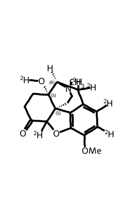 [2H]O[C@@]12CCC(=O)C3([2H])Oc4c(OC)c([2H])c([2H])c5c4[C@@]31CCN(C)[C@@H]2C5([2H])[2H]